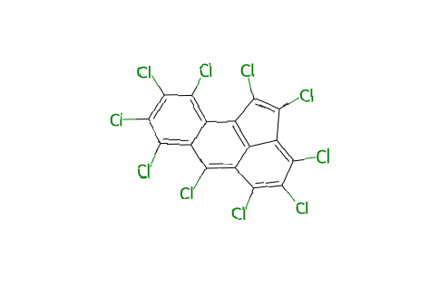 ClC1=C(Cl)c2c3c(Cl)c(Cl)c(Cl)c(Cl)c3c(Cl)c3c(Cl)c(Cl)c(Cl)c1c23